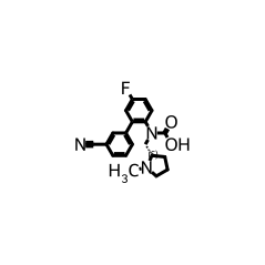 CN1CCC[C@H]1CN(C(=O)O)c1ccc(F)cc1-c1cccc(C#N)c1